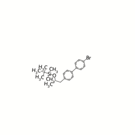 C[C@@H](Cc1ccc(-c2ccc(Br)cc2)cc1)O[Si](C)(C)C(C)(C)C